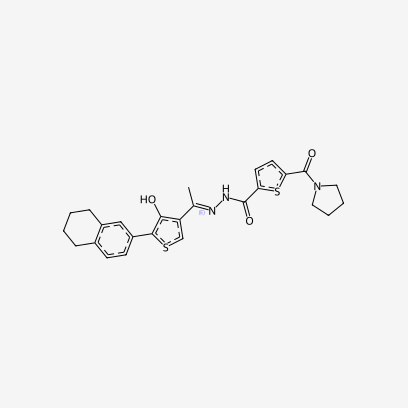 C/C(=N\NC(=O)c1ccc(C(=O)N2CCCC2)s1)c1csc(-c2ccc3c(c2)CCCC3)c1O